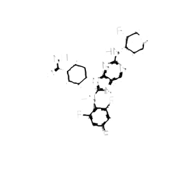 NC(=O)[C@H]1CC[C@H](n2c(Nc3c(F)cc(F)cc3F)nc3cnc(N[C@H]4CCOC[C@H]4F)nc32)CC1